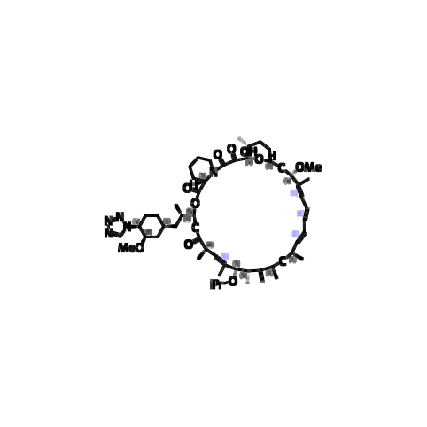 C=C1[C@H](C)C[C@H](C)/C=C/C=C/C=C(\C)[C@@H](OC)C[C@@H]2CC[C@@H](C)[C@@](O)(O2)C(=O)C(=O)N2CCCC[C@H]2C(=O)O[C@H]([C@H](C)C[C@@H]2CC[C@H](n3cnnn3)[C@H](OC)C2)CC(=O)[C@H](C)/C=C(\C)[C@@H](OC(C)C)[C@H]1C